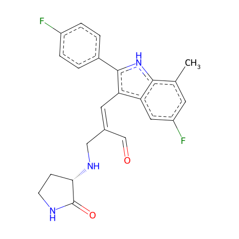 Cc1cc(F)cc2c(/C=C(\C=O)CN[C@H]3CCNC3=O)c(-c3ccc(F)cc3)[nH]c12